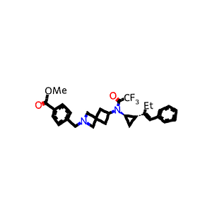 CC/C(=C\c1ccccc1)[C@@H]1C[C@H]1N(C(=O)C(F)(F)F)C1CC2(C1)CN(Cc1ccc(C(=O)OC)cc1)C2